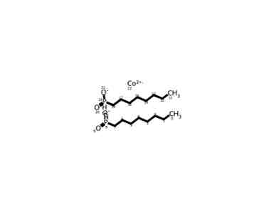 CCCCCCCC[PH](=O)[O-].CCCCCCCC[PH](=O)[O-].[Co+2]